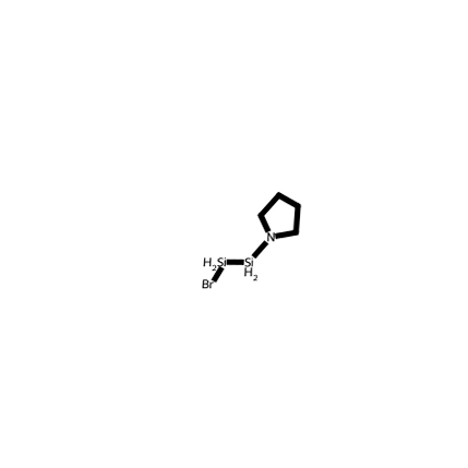 Br[SiH2][SiH2]N1CCCC1